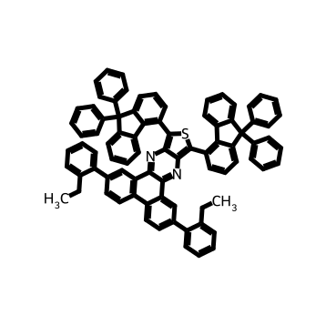 CCc1ccccc1-c1ccc2c3ccc(-c4ccccc4CC)cc3c3nc4c(-c5cccc6c5-c5ccccc5C6(c5ccccc5)c5ccccc5)sc(-c5cccc6c5-c5ccccc5C6(c5ccccc5)c5ccccc5)c4nc3c2c1